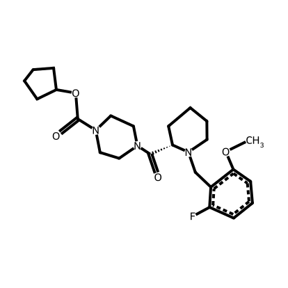 COc1cccc(F)c1CN1CCCC[C@H]1C(=O)N1CCN(C(=O)OC2CCCC2)CC1